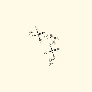 O.O.O.O.O=P([O-])([O-])[O-].O=P([O-])([O-])[O-].[Fe+2].[Fe+2].[Fe+2]